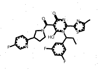 CCC(c1cc(F)cc(F)c1)n1c(-c2nc(C)cs2)nc(=O)c(C(=O)N2CCC(c3ccc(F)cn3)C2)c1O